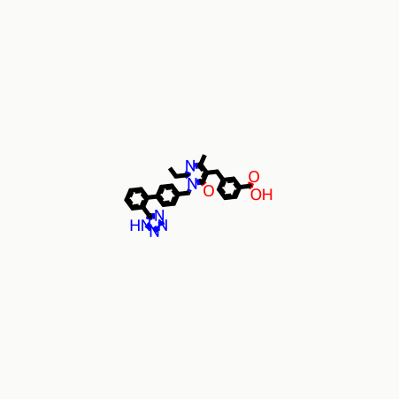 CCc1nc(C)c(Cc2cccc(C(=O)O)c2)c(=O)n1Cc1ccc(-c2ccccc2-c2nnn[nH]2)cc1